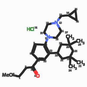 COCCC(=O)c1ccc(N2CCN(CC3CC3)CC2)c(C2CC(C)(C)CC(C)(C)C2)c1.Cl